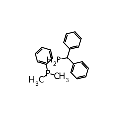 CP(C)c1ccccc1.PC(c1ccccc1)c1ccccc1